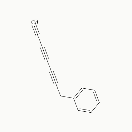 C#CC#CC#CCc1ccccc1